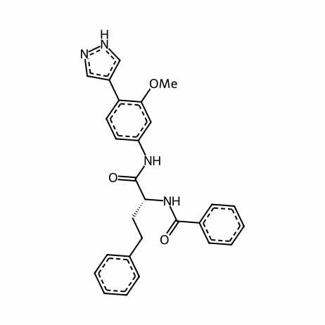 COc1cc(NC(=O)[C@@H](CCc2ccccc2)NC(=O)c2ccccc2)ccc1-c1cn[nH]c1